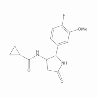 COc1cc(C2NC(=O)CC2NC(=O)C2CC2)ccc1F